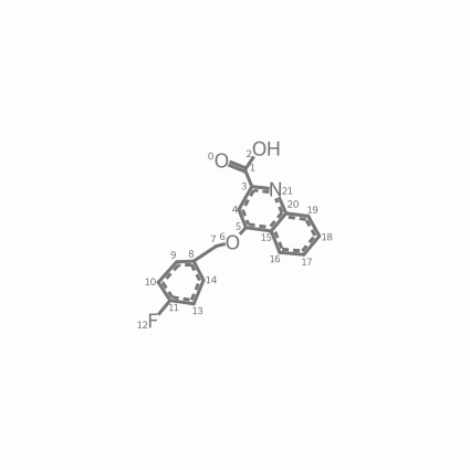 O=C(O)c1cc(OCc2ccc(F)cc2)c2ccccc2n1